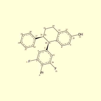 CC(C)c1c(F)cc([C@@H]2c3ccc(O)cc3CC[C@@H]2c2ccccc2)cc1F